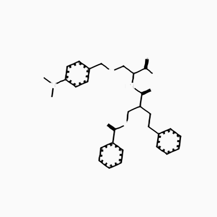 CN(C)c1ccc(CSCC(NC(=O)C(CCc2ccccc2)CSC(=O)c2ccccc2)C(=O)O)cc1